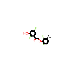 CC(=O)c1ccc(F)c(OCC(=O)c2cc(F)cc(O)c2F)c1F